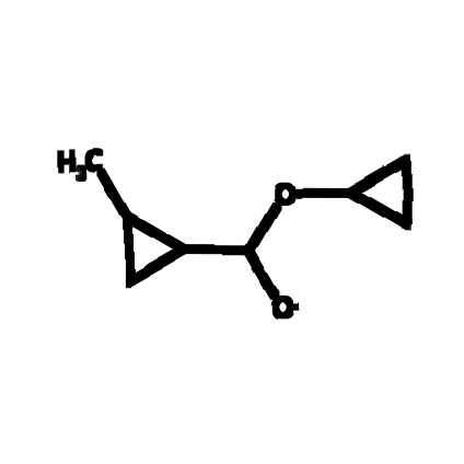 CC1CC1C([O])OC1CC1